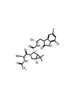 CC[C@H](CC1C(=O)Nc2c(Cl)cc(F)cc21)NC(=O)[C@@H]1C2[C@H](CN1C(=O)[C@@H](NC(=O)C(F)(F)F)C(C)(C)C)C2(C)C